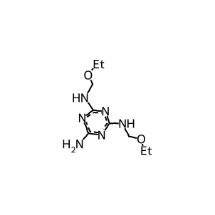 CCOCNc1nc(N)nc(NCOCC)n1